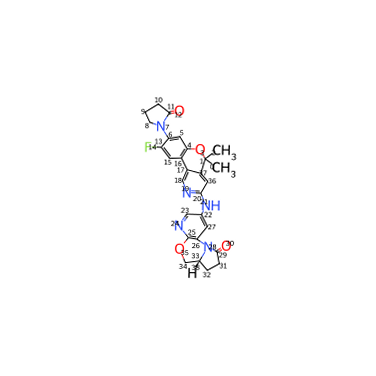 CC1(C)Oc2cc(N3CCCC3=O)c(F)cc2-c2cnc(Nc3cnc4c(c3)N3C(=O)CC[C@@H]3CO4)cc21